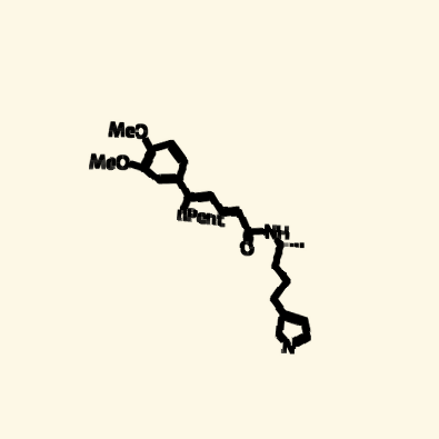 CCCCC/C(=C\C=C\C(=O)N[C@H](C)CCCC1=CC=NC1)c1ccc(OC)c(OC)c1